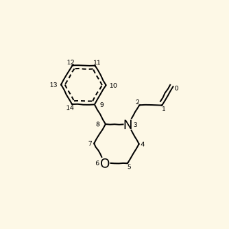 C=CCN1CCOCC1c1ccccc1